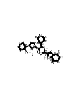 Nc1ccccc1C1CCN(C(=O)C(NC(=O)c2cc3c(F)ccc(F)c3[nH]2)c2ccncc2)C1